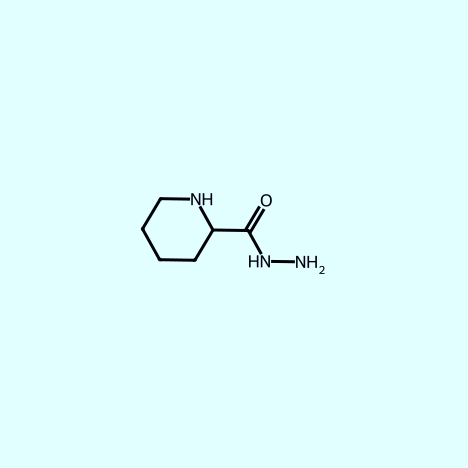 NNC(=O)C1CCCCN1